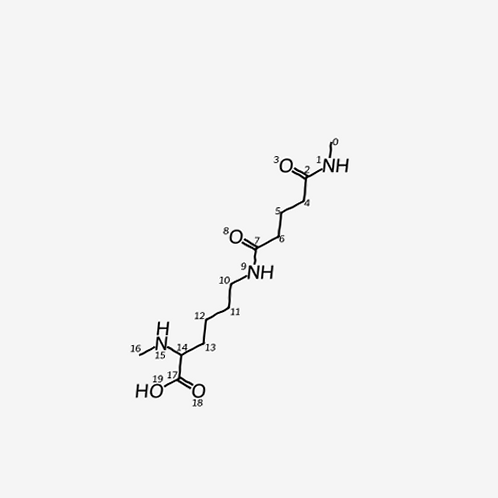 CNC(=O)CCCC(=O)NCCCCC(NC)C(=O)O